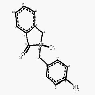 Nc1ccc(C[N+]2([O-])Cc3ccccc3C2=O)cc1